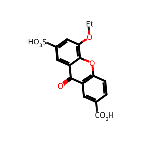 CCOc1cc(S(=O)(=O)O)cc2c(=O)c3cc(C(=O)O)ccc3oc12